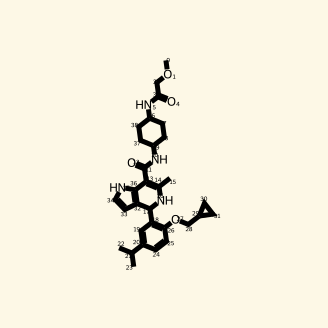 COCC(=O)NC1CCC(NC(=O)C2=C(C)NC(c3cc(C(C)C)ccc3OCC3CC3)c3cc[nH]c32)CC1